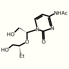 CC[C@H](CO)O[C@H](CO)n1ccc(NC(C)=O)nc1=O